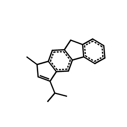 CC(C)C1=CC(C)c2cc3c(cc21)-c1ccccc1C3